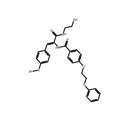 CC(C)Oc1ccc(C=C(NC(=O)c2ccc(OCCOc3ccccc3)cc2)C(=O)NCCO)cc1